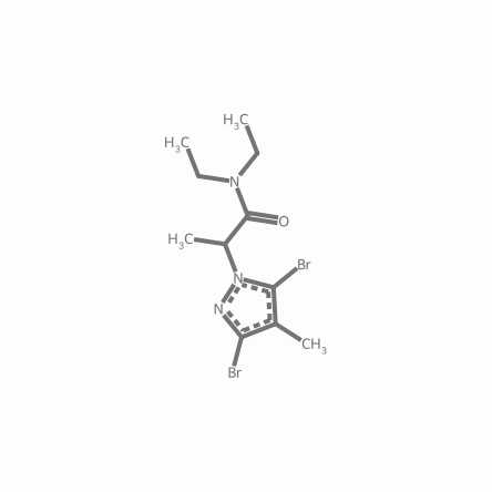 CCN(CC)C(=O)C(C)n1nc(Br)c(C)c1Br